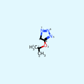 CC(C)OC1=NN=NC1